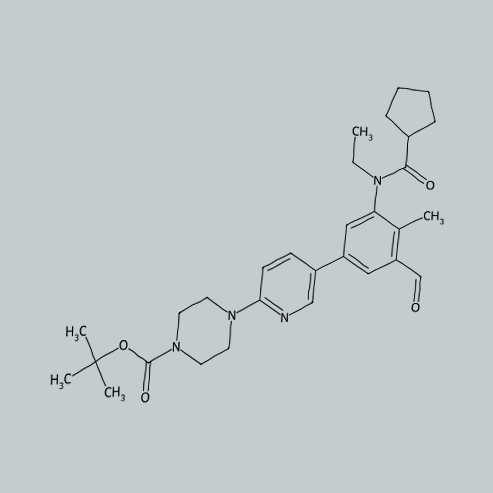 CCN(C(=O)C1CCCC1)c1cc(-c2ccc(N3CCN(C(=O)OC(C)(C)C)CC3)nc2)cc(C=O)c1C